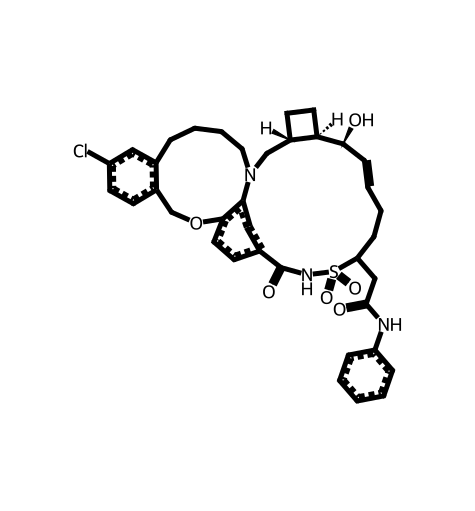 O=C(CC1CC/C=C/[C@H](O)[C@@H]2CC[C@H]2CN2CCCCc3cc(Cl)ccc3COc3ccc(cc32)C(=O)NS1(=O)=O)Nc1ccccc1